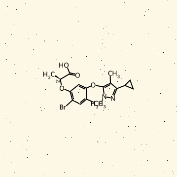 Cc1cc(Br)c(O[C@@H](C)C(=O)O)cc1Oc1c(C)c(C2CC2)nn1C